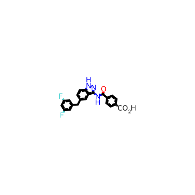 O=C(O)c1ccc(C(=O)Nc2n[nH]c3ccc(Cc4cc(F)cc(F)c4)cc23)cc1